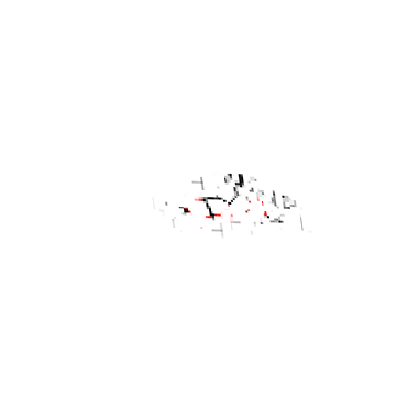 CO[C@@H](C)[C@@]1(CO[Si](C)(C)C(C)(C)C)O[C@@H]2OC(C)(C)O[C@@H]2[C@@H]1OC